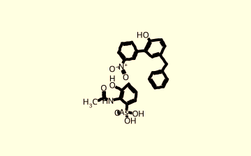 CC(=O)Nc1c(O)cccc1[As](=O)(O)O.O=[N+]([O-])c1cccc(-c2cc(Cc3ccccc3)ccc2O)c1